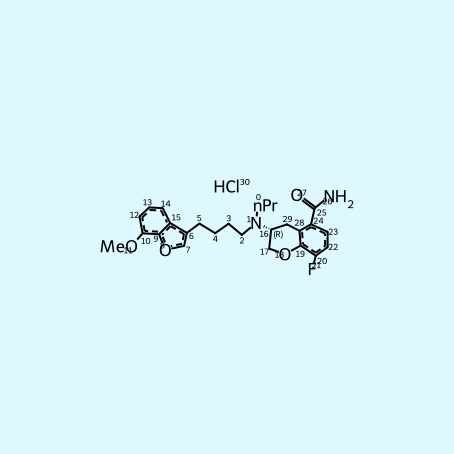 CCCN(CCCCc1coc2c(OC)cccc12)[C@H]1COc2c(F)ccc(C(N)=O)c2C1.Cl